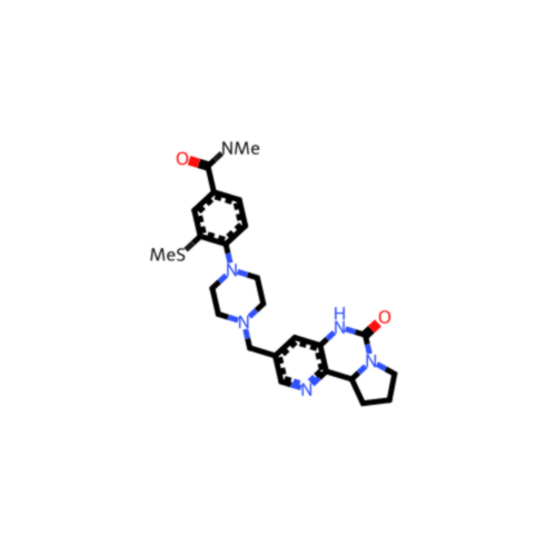 CNC(=O)c1ccc(N2CCN(Cc3cnc4c(c3)NC(=O)N3CCCC43)CC2)c(SC)c1